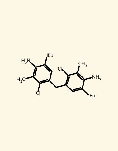 CCC(C)c1cc(Cc2cc(C(C)CC)c(N)c(C)c2Cl)c(Cl)c(C)c1N